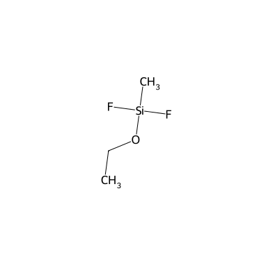 CCO[Si](C)(F)F